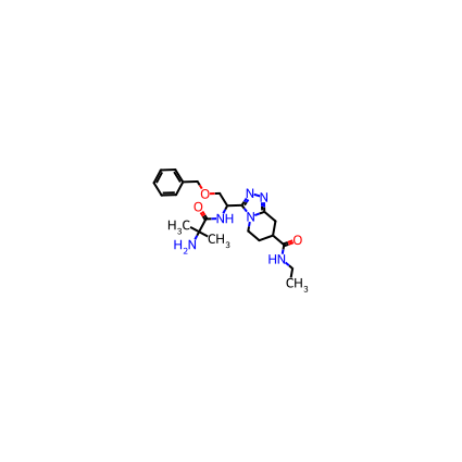 CCNC(=O)C1CCn2c(nnc2C(COCc2ccccc2)NC(=O)C(C)(C)N)C1